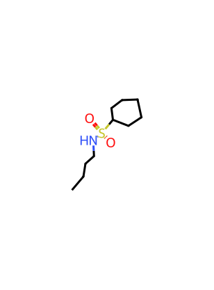 CCCCNS(=O)(=O)C1CCCCC1